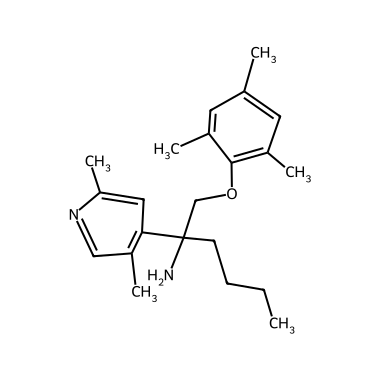 CCCCC(N)(COc1c(C)cc(C)cc1C)c1cc(C)ncc1C